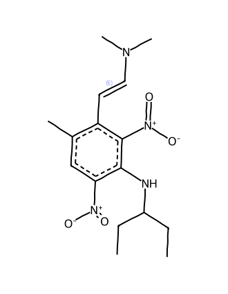 CCC(CC)Nc1c([N+](=O)[O-])cc(C)c(/C=C/N(C)C)c1[N+](=O)[O-]